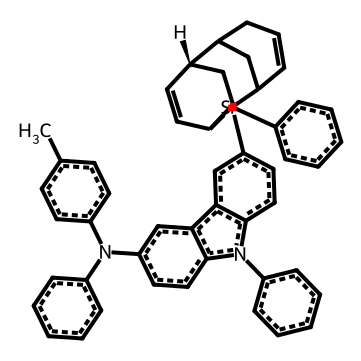 Cc1ccc(N(c2ccccc2)c2ccc3c(c2)c2cc([Si]4(c5ccccc5)C5C=C[C@@H](CC5)C5CC=CC4C5)ccc2n3-c2ccccc2)cc1